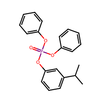 CC(C)c1cccc(OP(=O)(Oc2ccccc2)Oc2ccccc2)c1